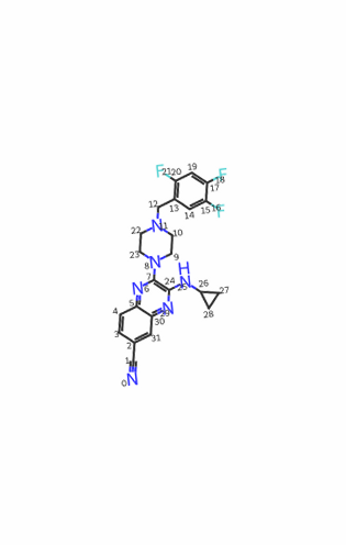 N#Cc1ccc2nc(N3CCN(Cc4cc(F)c(F)cc4F)CC3)c(NC3CC3)nc2c1